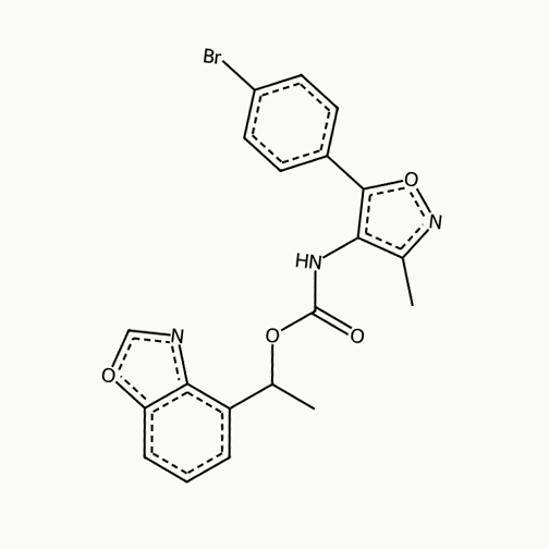 Cc1noc(-c2ccc(Br)cc2)c1NC(=O)OC(C)c1cccc2ocnc12